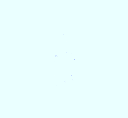 CN1CC2(C1)CN(C(=O)Nc1cccc(C3(Cc4nncn4C)COC3)c1)c1ncccc1O2